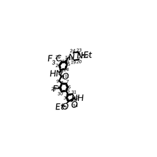 CCOc1cc(-c2ccc(CC(=O)Nc3ccc(CN4CCN(CC)CC4)c(C(F)(F)F)c3)c(F)c2)c[nH]c1=O